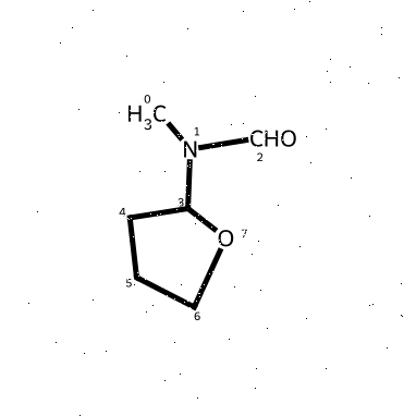 CN(C=O)C1CCCO1